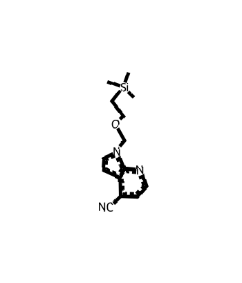 C[Si](C)(C)CCOCn1ccc2c(C#N)ccnc21